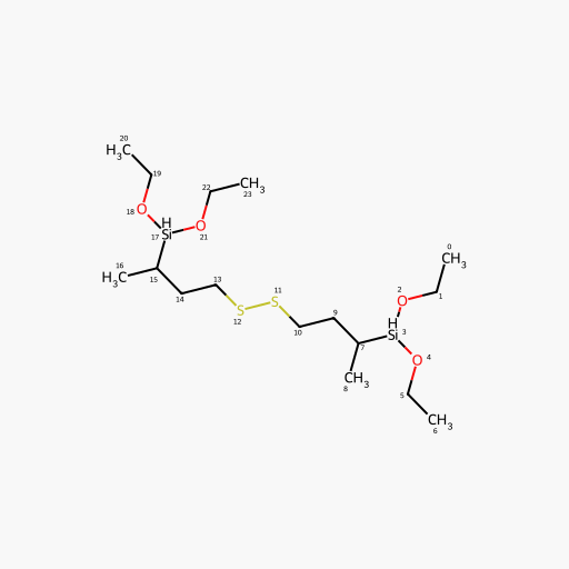 CCO[SiH](OCC)C(C)CCSSCCC(C)[SiH](OCC)OCC